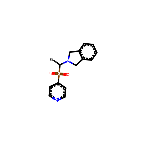 CCC(N1Cc2ccccc2C1)S(=O)(=O)c1ccncc1